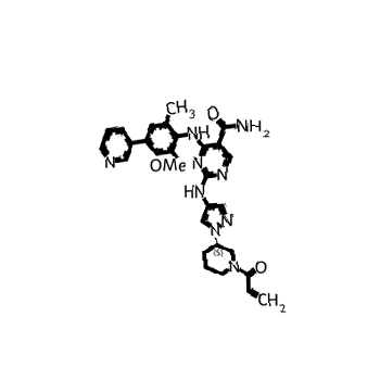 C=CC(=O)N1CCC[C@H](n2cc(Nc3ncc(C(N)=O)c(Nc4c(C)cc(-c5cccnc5)cc4OC)n3)cn2)C1